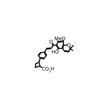 COc1cc2c(c(O)c1C(=O)/C=C/c1ccc(C3CCC3C(=O)O)cc1)C=CC(C)(C)O2